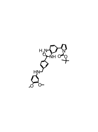 COc1ccc(NCc2ccc(C(=O)Nc3cc(-c4cccn4C(=O)OC(C)(C)C)ccc3N)cc2)cc1OC